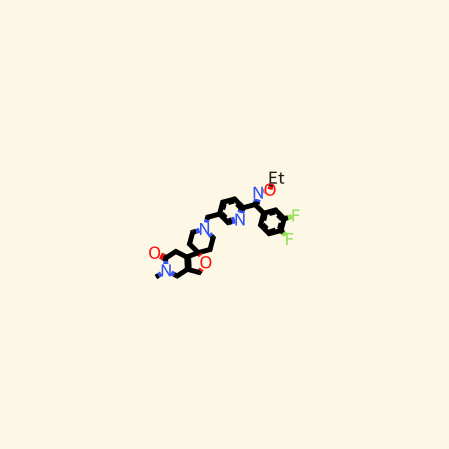 CCON=C(c1ccc(F)c(F)c1)c1ccc(CN2CCC3(CC2)OCC2=C3CC(=O)N(C)C2)cn1